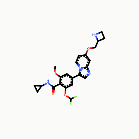 COc1cc(-c2cnc3cc(OCC4CCN4)ccn23)cc(OC(F)F)c1C(=O)NC1CC1